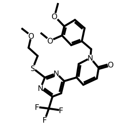 COCCSc1nc(-c2ccc(=O)n(Cc3ccc(OC)c(OC)c3)c2)cc(C(F)(F)F)n1